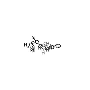 COc1nc(N2CCC(N3CCOCC3)CC2)ncc1Nc1ncc(-c2ccc(C#N)c(OC(C)Cn3cnnn3)c2)cn1